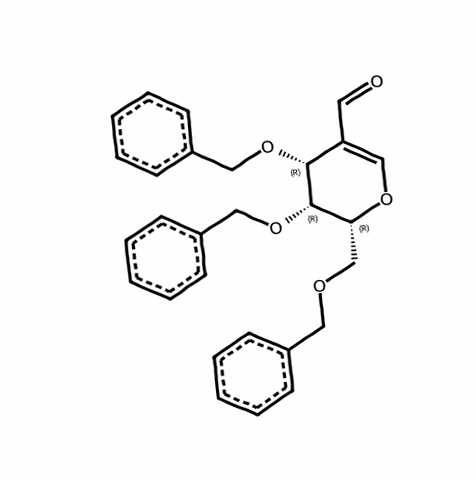 O=CC1=CO[C@H](COCc2ccccc2)[C@H](OCc2ccccc2)[C@@H]1OCc1ccccc1